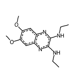 CCNc1nc2cc(OC)c(OC)cc2nc1NCC